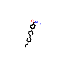 CCC[C@H]1CC[C@H]([C@H]2CC[C@H](c3ccc(C(N)=O)c(F)c3)CC2)CC1